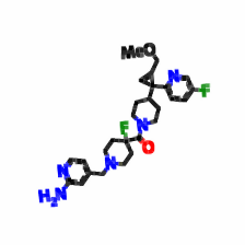 COCC1=CC1(c1ccc(F)cn1)C1CCN(C(=O)C2(F)CCN(Cc3ccnc(N)c3)CC2)CC1